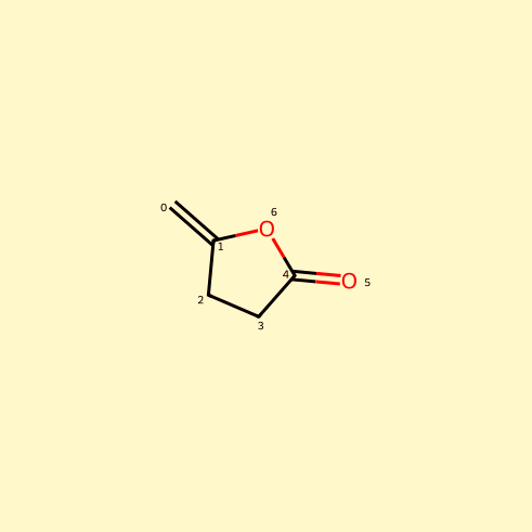 C=C1CCC(=O)O1